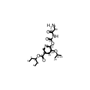 CCC(CC)OC(=O)c1cnc(OC(=O)NC(=O)CN)c(OC(C)C)c1